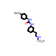 COc1ccc(NC(=O)Nc2cccc(CCNC(=O)O)c2)cc1